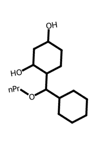 CCCOC(C1CCCCC1)C1CCC(O)CC1O